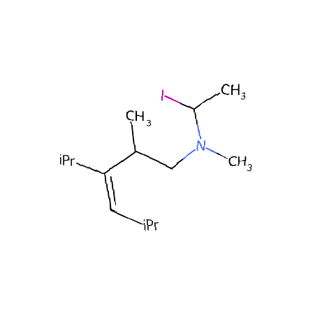 CC(C)/C=C(/C(C)C)C(C)CN(C)C(C)I